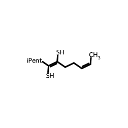 C/C=C\CC/C(S)=C(\S)C(C)CCC